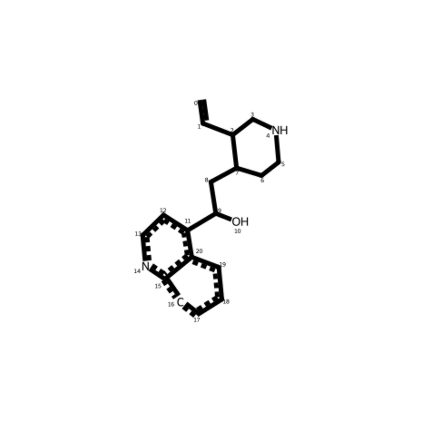 C=CC1CNCCC1CC(O)c1ccnc2ccccc12